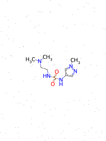 CN(C)CCNS(=O)(=O)Nc1cnn(C)c1